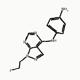 Nc1ccc(Nc2ncnc3c2cnn3CCF)cc1